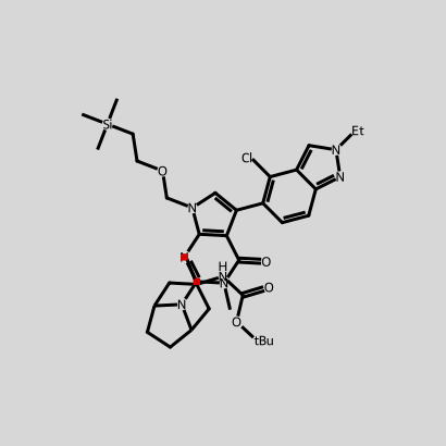 CCn1cc2c(Cl)c(-c3cn(COCC[Si](C)(C)C)c4nc(N5C6CCC5CC(C)(NC(=O)OC(C)(C)C)C6)n(C)c(=O)c34)ccc2n1